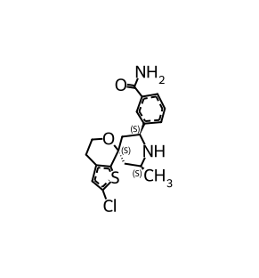 C[C@H]1C[C@@]2(C[C@@H](c3cccc(C(N)=O)c3)N1)OCCc1cc(Cl)sc12